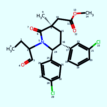 CCC(C=O)N1C(=O)[C@@](C)(CC(=O)OC)C[C@H](c2cccc(Cl)c2)[C@H]1c1ccc(Cl)cc1